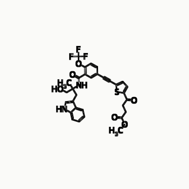 COC(=O)CCC(=O)c1ccc(C#Cc2ccc(OC(F)(F)F)c(C(=O)NC(C)(CO)Cc3c[nH]c4ccccc34)c2)s1